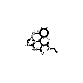 CCOC(=O)C1C(=O)Nc2ncnn2C1c1ccccc1Cl